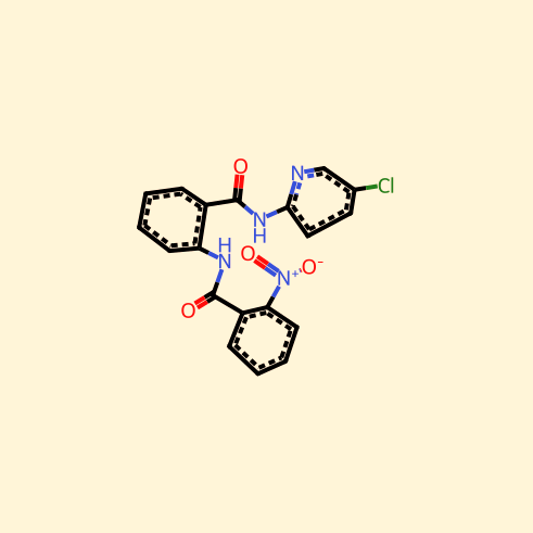 O=C(Nc1ccc(Cl)cn1)c1ccccc1NC(=O)c1ccccc1[N+](=O)[O-]